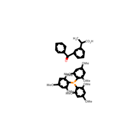 CC(C(=O)O)c1cccc(C(=O)c2ccccc2)c1.COc1cc(OC)c(P(c2c(OC)cc(OC)cc2OC)c2c(OC)cc(OC)cc2OC)c(OC)c1